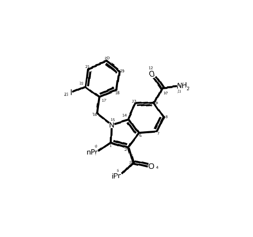 CCCc1c(C(=O)C(C)C)c2ccc(C(N)=O)cc2n1Cc1ccccc1I